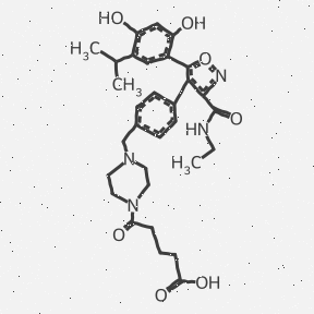 CCNC(=O)c1noc(-c2cc(C(C)C)c(O)cc2O)c1-c1ccc(CN2CCN(C(=O)CCCC(=O)O)CC2)cc1